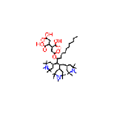 CCCCCCCCCC(OC(=O)CC(C(=O)O)C(CC(=O)O)C(=O)O)C(C1CC(C)(C)N(C)C(C)(C)C1)C(CC1CC(C)(C)N(C)C(C)(C)C1)C1CC(C)(C)N(C)C(C)(C)C1